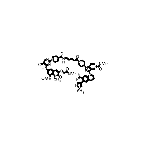 CNC(=O)COc1cc2cc(Nc3nc(N4CCC(C(=O)NCCCCC(=O)N5CCC(n6nc(N7CCCc8cc(-c9cnn(C)c9)c(C(F)F)cc87)c7c6CCN(C(=O)NC)C7)CC5)CC4)ncc3Cl)cc(OC)c2n(C)c1=O